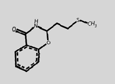 CSCCC1NC(=O)c2ccccc2O1